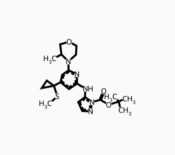 CSC1(c2cc(Nc3ccnn3C(=O)OC(C)(C)C)nc(N3CCOCC3C)c2)CC1